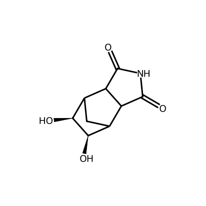 O=C1NC(=O)C2C1C1CC2[C@H](O)[C@@H]1O